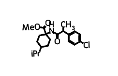 COC(=O)C1(NC(=O)C(C)c2ccc(Cl)cc2)CCC(C(C)C)CC1